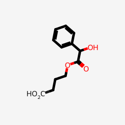 O=C(O)CCCOC(=O)C(O)c1ccccc1